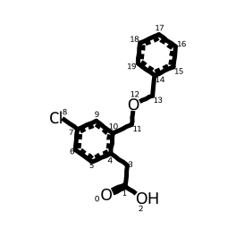 O=C(O)Cc1ccc(Cl)cc1COCc1ccccc1